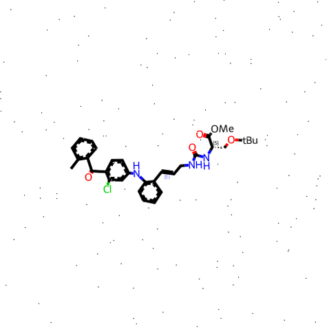 COC(=O)[C@H](COC(C)(C)C)NC(=O)NC/C=C/c1ccccc1Nc1ccc(C(=O)c2ccccc2C)c(Cl)c1